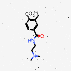 Cc1cc(C(=O)NCCN(C)C)ccc1C(=O)O